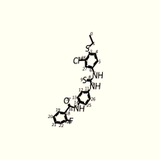 CCSc1ccc(NC(=S)Nc2ccc(NC(=O)c3ccccc3F)cc2)cc1Cl